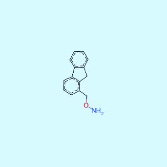 NOCc1cccc2c1Cc1ccccc1-2